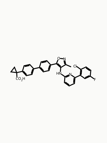 Cc1noc(-c2ccc(-c3ccc(C4(C(=O)O)CC4)cc3)cc2)c1Nc1cccc(-c2cc(F)ccc2Cl)n1